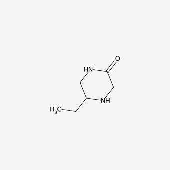 CCC1CNC(=O)CN1